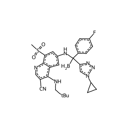 BC(Nc1cc(S(C)(=O)=O)c2ncc(C#N)c(NCC(C)(C)C)c2c1)(c1ccc(F)cc1)c1cn(C2CC2)nn1